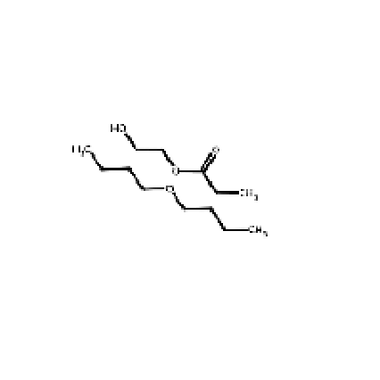 CCC(=O)OCCO.CCCCOCCCC